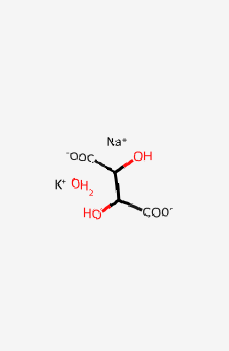 O.O=C([O-])C(O)C(O)C(=O)[O-].[K+].[Na+]